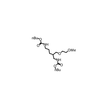 CCCCOC(=O)NCCCC(CNC(=O)OCCCC)COCCOC